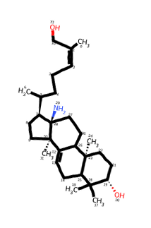 C/C(=C/CCC(C)[C@@H]1CC[C@]2(C)C3=CCC4C(C)(C)[C@@H](O)CC[C@]4(C)C3CC[C@@]12N)CO